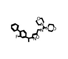 CC(c1ccc(-c2ccccc2)c(F)c1)c1cc(CN=C(N2CCOCC2)N2CCOCC2)on1